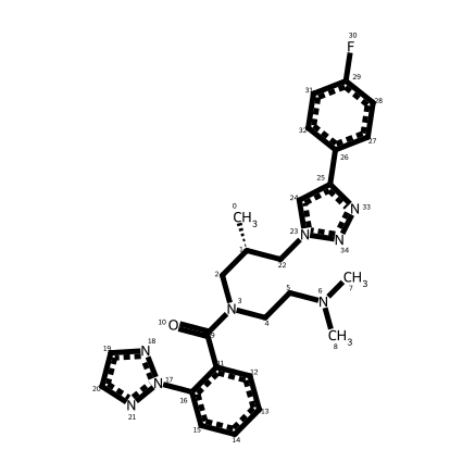 C[C@@H](CN(CCN(C)C)C(=O)c1ccccc1-n1nccn1)Cn1cc(-c2ccc(F)cc2)nn1